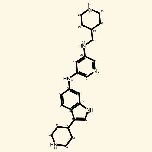 c1ncc(Nc2ccc3c(C4CCNCC4)c[nH]c3c2)cc1NCC1CCNCC1